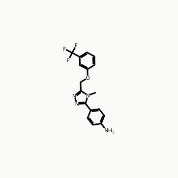 Cn1c(COc2cccc(C(F)(F)F)c2)nnc1-c1ccc(N)cc1